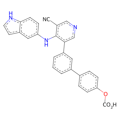 N#Cc1cncc(-c2cccc(-c3ccc(OC(=O)O)cc3)c2)c1Nc1ccc2[nH]ccc2c1